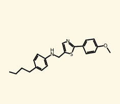 CCCCc1ccc(NCc2cnc(-c3ccc(OC)cc3)s2)cc1